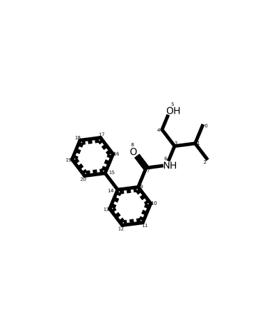 CC(C)C(CO)NC(=O)c1ccccc1-c1ccccc1